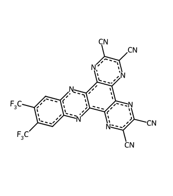 N#Cc1nc2c3nc(C#N)c(C#N)nc3c3nc4cc(C(F)(F)F)c(C(F)(F)F)cc4nc3c2nc1C#N